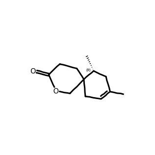 CC1=CCC2(CCC(=O)OC2)[C@H](C)C1